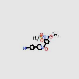 COCc1ccc(C(=O)N2CCC(c3ccc(C#N)cc3)CC2)cc1NS(C)(=O)=O